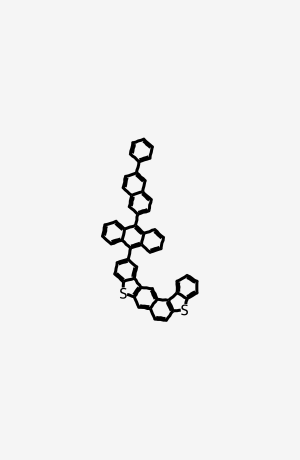 c1ccc(-c2ccc3cc(-c4c5ccccc5c(-c5ccc6sc7cc8ccc9sc%10ccccc%10c9c8cc7c6c5)c5ccccc45)ccc3c2)cc1